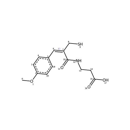 COc1ccc(/C=C(/CS)C(=O)NCCC(=O)O)cc1